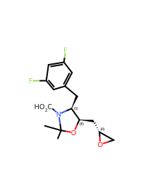 CC1(C)O[C@H](C[C@@H]2CO2)[C@H](Cc2cc(F)cc(F)c2)N1C(=O)O